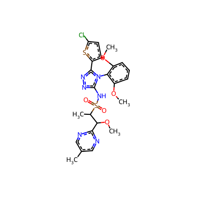 COc1cccc(OC)c1-n1c(NS(=O)(=O)C(C)C(OC)c2ncc(C)cn2)nnc1-c1ccc(Cl)s1